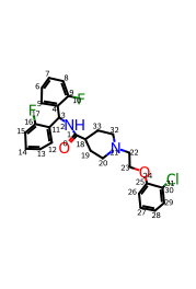 O=C(NC(c1ccccc1F)c1ccccc1F)C1CCN(CCOc2ccccc2Cl)CC1